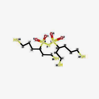 O=S(=O)(SS(=O)(=O)C(CCS)CCCS)C(CCS)CCCS